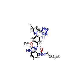 CCOC(=O)CNC(=O)c1cccc2c1N(Cc1ccc(-n3cc(C)cc3-c3nnn[nH]3)cc1)C(OCC)N2